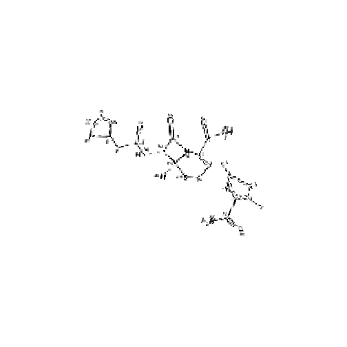 Cc1sc(SC2=C(C(=O)O)N3C(=O)[C@@H](NC(=O)Cc4ccsc4)[C@@H]3SC2)nc1C(N)=O